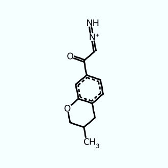 CC1COc2cc(C(=O)C=[N+]=N)ccc2C1